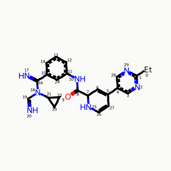 CCc1ncc(C2=CC(C(=O)Nc3cccc(C(=N)N(C=N)C4CC4)c3)NC=C2)cn1